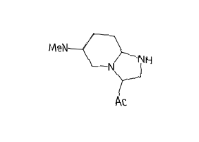 CNC1CCC2NCC(C(C)=O)N2C1